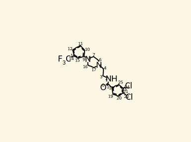 O=C(NCCN1CCN(c2cccc(C(F)(F)F)c2)CC1)c1ccc(Cl)c(Cl)c1